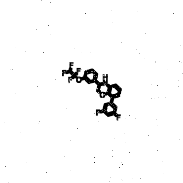 Fc1cc(F)cc(-c2cccc3c2OCC(c2cccc(OC(F)(F)C(F)F)c2)N3)c1